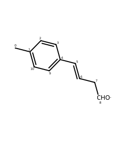 Cc1ccc(C=CC[C]=O)cc1